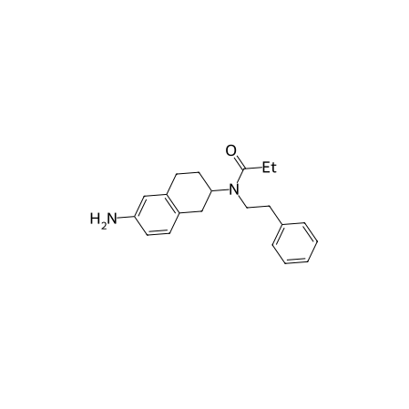 CCC(=O)N(CCc1ccccc1)C1CCc2cc(N)ccc2C1